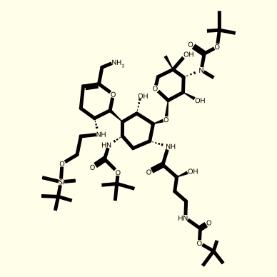 CN(C(=O)OC(C)(C)C)[C@@H]1[C@@H](O)[C@@H](O[C@@H]2[C@@H](O)[C@H](C3OC(CN)=CC[C@H]3NCCO[Si](C)(C)C(C)(C)C)[C@@H](NC(=O)OC(C)(C)C)C[C@H]2NC(=O)[C@@H](O)CCNC(=O)OC(C)(C)C)OC[C@]1(C)O